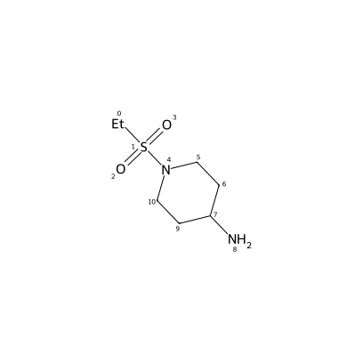 CCS(=O)(=O)N1CCC(N)CC1